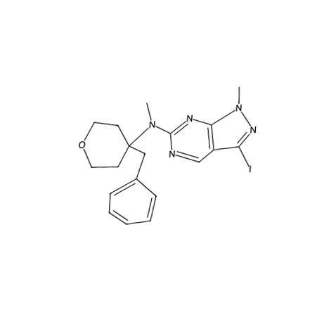 CN(c1ncc2c(I)nn(C)c2n1)C1(Cc2ccccc2)CCOCC1